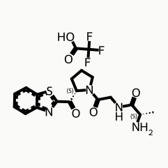 C[C@H](N)C(=O)NCC(=O)N1CCC[C@H]1C(=O)c1nc2ccccc2s1.O=C(O)C(F)(F)F